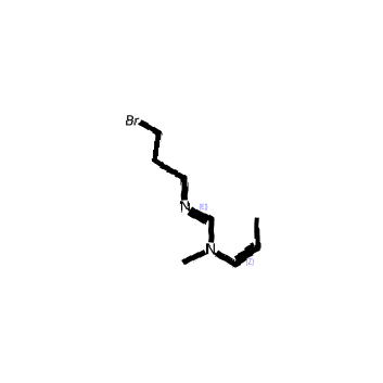 C/C=C\N(C)/C=N/CCCBr